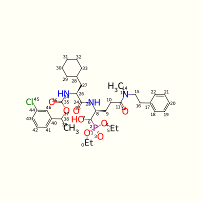 CCOP(=O)(OCC)C(O)[C@H](CCC(=O)N(C)CCc1ccccc1)NC(=O)[C@H](CC1CCCCC1)NC(=O)OC(C)c1cccc(Cl)c1